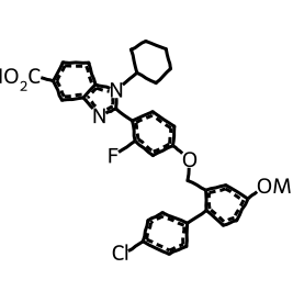 COc1ccc(-c2ccc(Cl)cc2)c(COc2ccc(-c3nc4cc(C(=O)O)ccc4n3C3CCCCC3)c(F)c2)c1